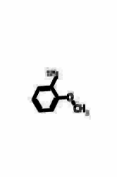 COc1ccccc1[125I]